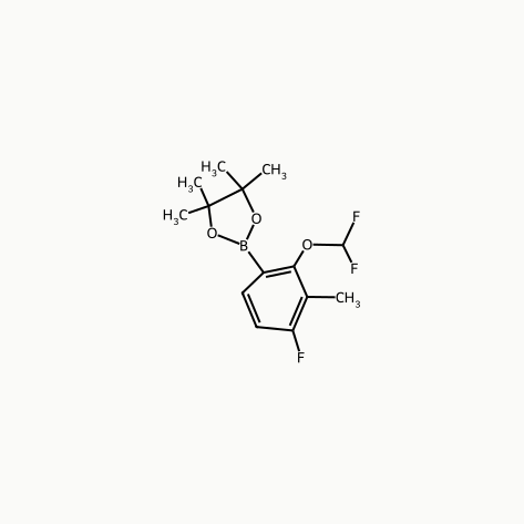 Cc1c(F)ccc(B2OC(C)(C)C(C)(C)O2)c1OC(F)F